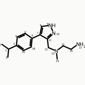 CC(C)c1ccc(-c2c[nH]nc2CN(C)CCN)cc1